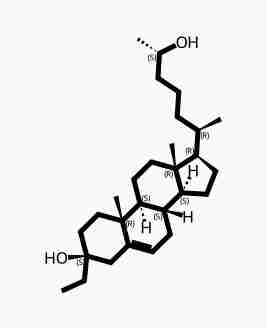 CC[C@]1(O)CC[C@@]2(C)C(=CC[C@H]3[C@@H]4CC[C@H]([C@H](C)CCC[C@H](C)O)[C@@]4(C)CC[C@@H]32)C1